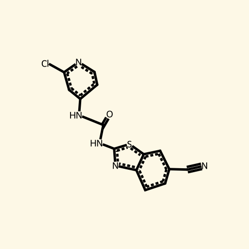 N#Cc1ccc2nc(NC(=O)Nc3ccnc(Cl)c3)sc2c1